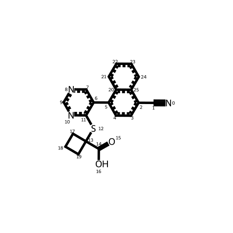 N#Cc1ccc(-c2cncnc2SC2(C(=O)O)CCC2)c2ccccc12